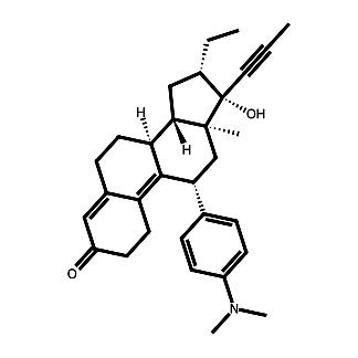 CC#C[C@]1(O)[C@@H](CC)C[C@H]2[C@@H]3CCC4=CC(=O)CCC4=C3[C@@H](c3ccc(N(C)C)cc3)C[C@@]21C